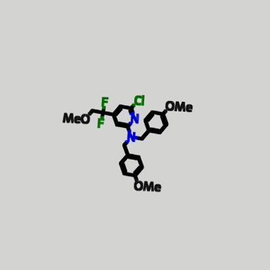 COCC(F)(F)c1cc(Cl)nc(N(Cc2ccc(OC)cc2)Cc2ccc(OC)cc2)c1